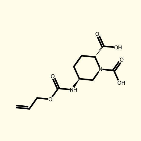 C=CCOC(=O)N[C@H]1CC[C@H](C(=O)O)N(C(=O)O)C1